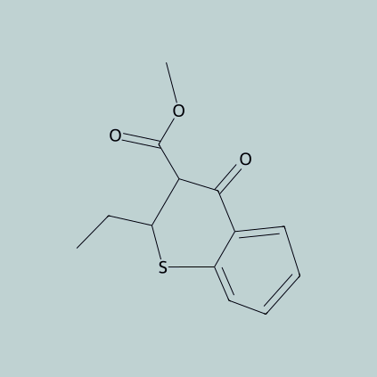 CCC1Sc2ccccc2C(=O)C1C(=O)OC